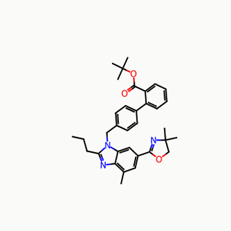 CCCc1nc2c(C)cc(C3=NC(C)(C)CO3)cc2n1Cc1ccc(-c2ccccc2C(=O)OC(C)(C)C)cc1